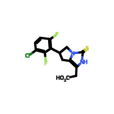 O=C(O)Cc1[nH]c(=S)n2c1CC(c1c(F)ccc(Cl)c1F)C2